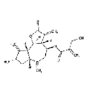 C=C(CO)C(=O)O[C@H]1CC(=C)[C@@H]2C[C@H](O)C(=C)[C@@H]2[C@H]2OC(=O)C(=C)[C@@H]21